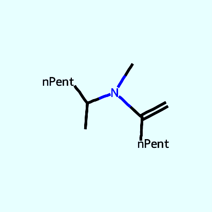 C=C(CCCCC)N(C)C(C)CCCCC